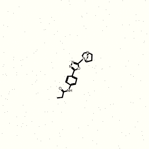 CCC(=O)Nc1ccc(-c2nnc(N3CCN4CCC3CC4)o2)cc1